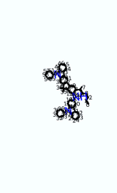 C=C/C=C\C(C)=C(/C)c1cc2c(cc1Nc1ccc3c(c1)c1ccccc1n3-c1ccccc1)C(C)(C)c1cc3c(cc1-2)c1ccccc1n3-c1ccccc1